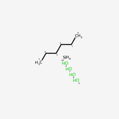 CCCCCC.Cl.Cl.Cl.Cl.[SiH4]